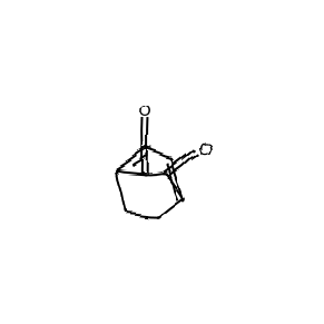 O=C1C(=O)C2=C[C]=C1CC2